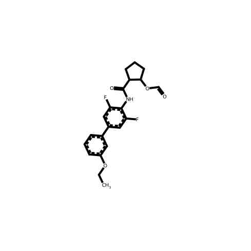 CCOc1cccc(-c2cc(F)c(NC(=O)C3CCCC3OC=O)c(F)c2)c1